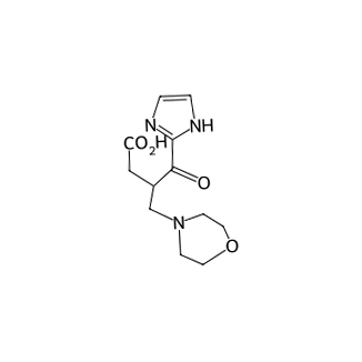 O=C(O)CC(CN1CCOCC1)C(=O)c1ncc[nH]1